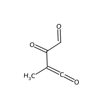 CC(=C=O)C(=O)C=O